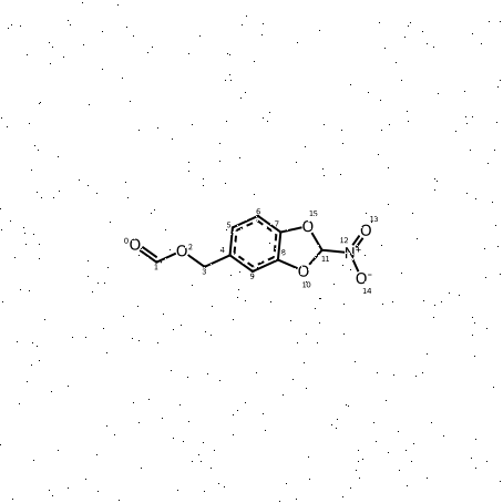 O=[C]OCc1ccc2c(c1)OC([N+](=O)[O-])O2